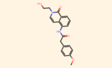 COc1ccc(CC(=O)Nc2cccc3c(=O)n(CCO)ccc23)cc1